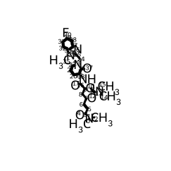 CN(C)C(=O)/C=C/CCC(OC(=O)N(C)C)C(=O)Nc1cccn(Cc2nc3cc(F)ccc3n2C)c1=O